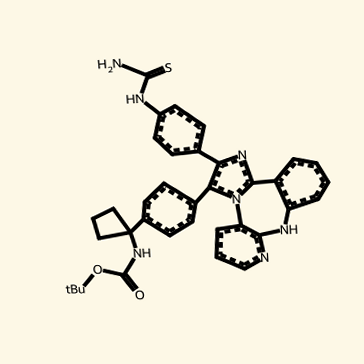 CC(C)(C)OC(=O)NC1(c2ccc(-c3c(-c4ccc(NC(N)=S)cc4)nc4n3-c3cccnc3Nc3ccccc3-4)cc2)CCC1